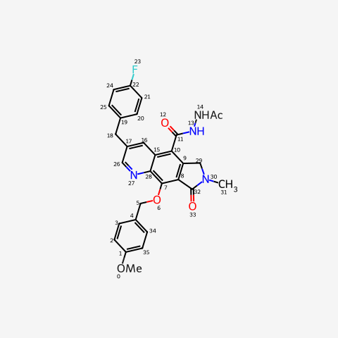 COc1ccc(COc2c3c(c(C(=O)NNC(C)=O)c4cc(Cc5ccc(F)cc5)cnc24)CN(C)C3=O)cc1